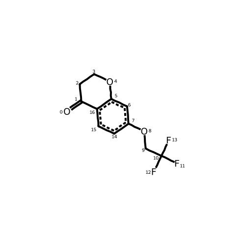 O=C1CCOc2cc(OCC(F)(F)F)ccc21